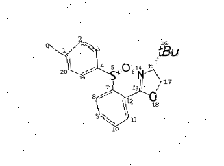 Cc1ccc([S@@+]([O-])c2ccccc2C2=N[C@H](C(C)(C)C)CO2)cc1